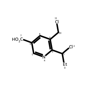 CCC(Cl)c1ncc(C(=O)O)cc1CCl